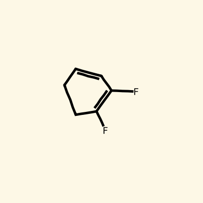 FC1=C(F)CCC=C1